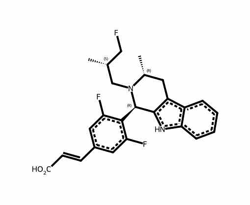 C[C@H](CF)CN1[C@H](c2c(F)cc(C=CC(=O)O)cc2F)c2[nH]c3ccccc3c2C[C@H]1C